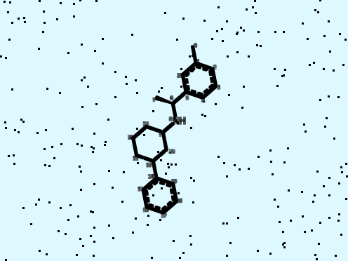 Cc1cccc([C@H](C)NC2CCCC(c3ccccc3)C2)c1